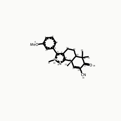 COc1cccc(-c2c3c(nn2C)[C@@]2(C)C=C(C#N)C(=O)C(C)(C)C2CC3)c1